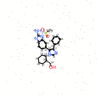 CC(C)S(=O)(=O)n1c(N)nc2ccc(-c3c(-c4ccccc4)ncn3[C@H]3CCCC[C@@H]3CO)cc21